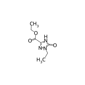 CCOC(=O)c1nn(CC)c(=O)[nH]1